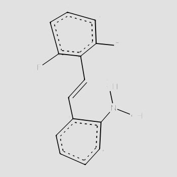 CN(C)c1ccccc1/C=C/c1c(F)cccc1F